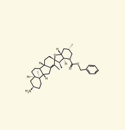 CC1=C2C[C@H]3C(CC[C@@H]4C[C@H](N)CC[C@@]43C)[C@@H]2CC[C@]12O[C@@H]1C[C@H](C)CN(C(=O)OCc3ccccc3)[C@H]1[C@H]2C